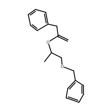 C=C(Cc1ccccc1)OC(C)COCc1ccccc1